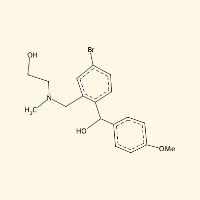 COc1ccc(C(O)c2ccc(Br)cc2CN(C)CCO)cc1